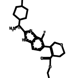 CCOC(=O)C1=C(c2ccc3[nH]c([C@@H](N)C4CCC(C)CC4)nc3c2F)COCC1